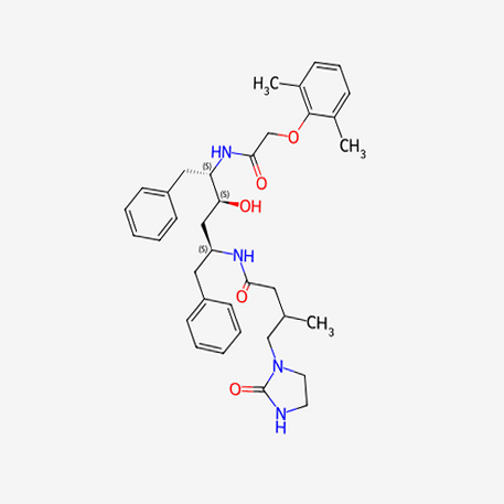 Cc1cccc(C)c1OCC(=O)N[C@@H](Cc1ccccc1)[C@@H](O)C[C@H](Cc1ccccc1)NC(=O)CC(C)CN1CCNC1=O